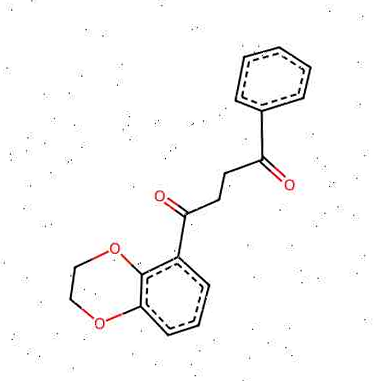 O=C(CCC(=O)c1cccc2c1OCCO2)c1ccccc1